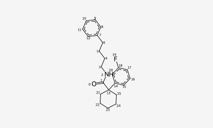 O=C(NCCCCc1ccccc1)C1(c2cccc(F)c2)CCCCC1